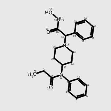 CCC(=O)N(c1ccccc1)C1CCN(C(C(=O)NO)c2ccccc2)CC1